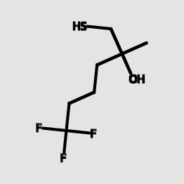 CC(O)(CS)CCCC(F)(F)F